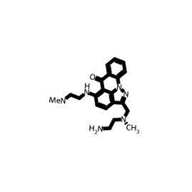 CNCCNc1ccc2c(CN(C)CCN)nn3c4ccccc4c(=O)c1c23